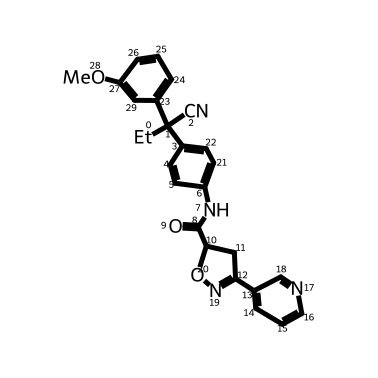 CCC(C#N)(c1ccc(NC(=O)C2CC(c3cccnc3)=NO2)cc1)c1cccc(OC)c1